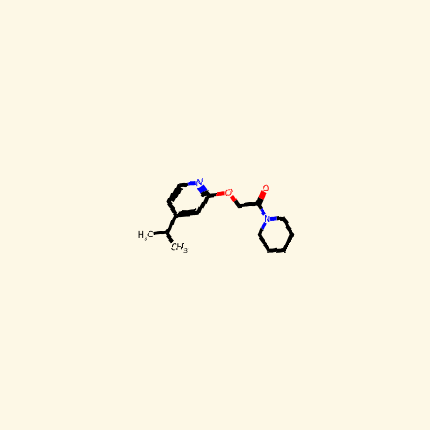 CC(C)c1ccnc(OCC(=O)N2CCCCC2)c1